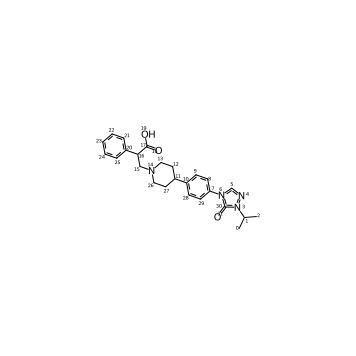 CC(C)n1ncn(-c2ccc(C3CCN(CC(C(=O)O)c4ccccc4)CC3)cc2)c1=O